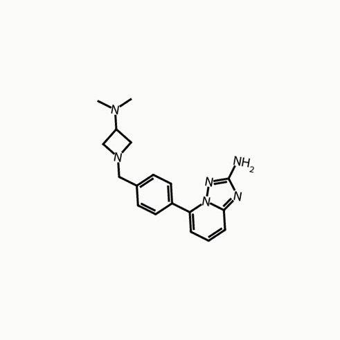 CN(C)C1CN(Cc2ccc(-c3cccc4nc(N)nn34)cc2)C1